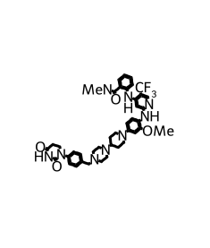 CNC(=O)c1ccccc1Nc1cc(Nc2ccc(N3CCC(N4CCN(Cc5ccc(N6CCC(=O)NC6=O)cc5)CC4)CC3)cc2OC)ncc1C(F)(F)F